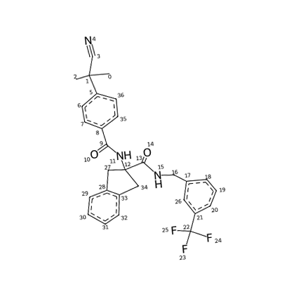 CC(C)(C#N)c1ccc(C(=O)NC2(C(=O)NCc3cccc(C(F)(F)F)c3)Cc3ccccc3C2)cc1